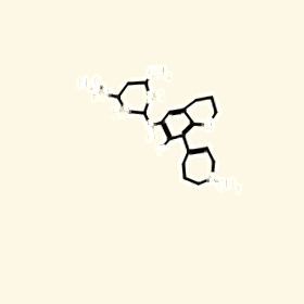 CNC1CC(C)NC(Nc2cc3c(c(C4=CCN(C)CCC4)c2F)OCCC3)N1